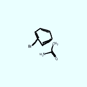 Brc1ccccc1.CC(N)=O